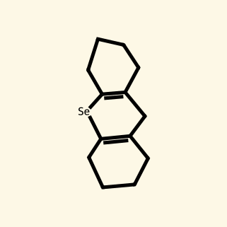 C1CCC2=C(C1)CC1=C(CCCC1)[Se]2